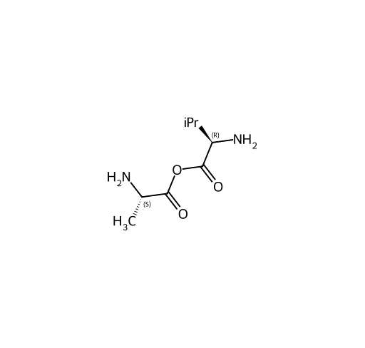 CC(C)[C@@H](N)C(=O)OC(=O)[C@H](C)N